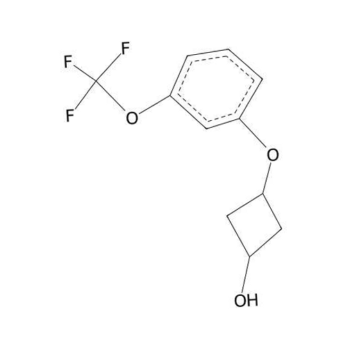 OC1CC(Oc2cccc(OC(F)(F)F)c2)C1